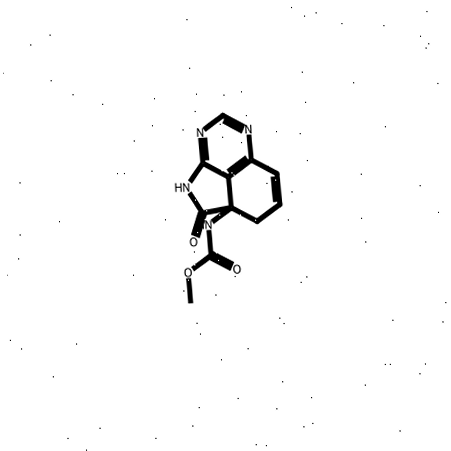 COC(=O)NC12CC=Cc3ncnc(c31)NC2=O